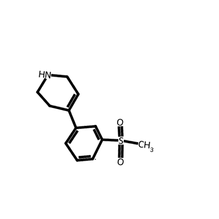 CS(=O)(=O)c1[c]ccc(C2=CCNCC2)c1